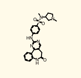 CN1CCC(N(C)S(=O)(=O)c2ccc(Nc3ncc4c(n3)-c3ccccc3NC(=O)C4)cc2)C1